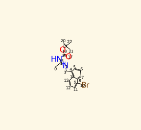 C/C(=N\Cc1cccc2c(Br)cccc12)NC(=O)OC(C)(C)C